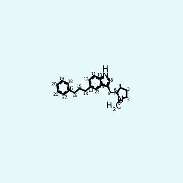 CN1CCC[C@@H]1Cc1c[nH]c2ccc(CCCc3ccccc3)cc12